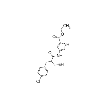 CCOC(=O)c1cc(NC(=O)C(CS)Cc2ccc(Cl)cc2)c[nH]1